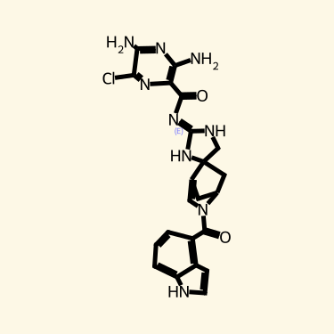 Nc1nc(N)c(C(=O)/N=C2\NCC3(CC4CC3=CN4C(=O)c3cccc4[nH]ccc34)N2)nc1Cl